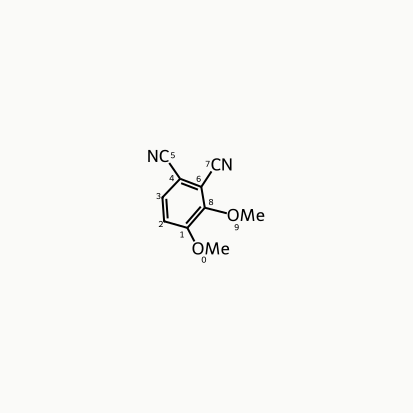 COc1ccc(C#N)c(C#N)c1OC